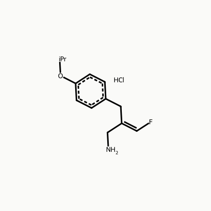 CC(C)Oc1ccc(C/C(=C\F)CN)cc1.Cl